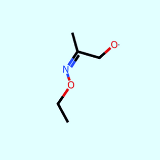 CCON=C(C)C[O]